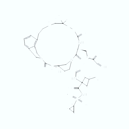 C=CC(=O)NC[C@@H]1NC(=O)OCC(C)(C)CCCCc2cccc3c2CN(C3)C(=O)O[C@@H]2C[C@@H](C(=O)NC3(C(=O)NS(=O)(=O)C4CC4)CC(C)C3)N(C2)C1=O